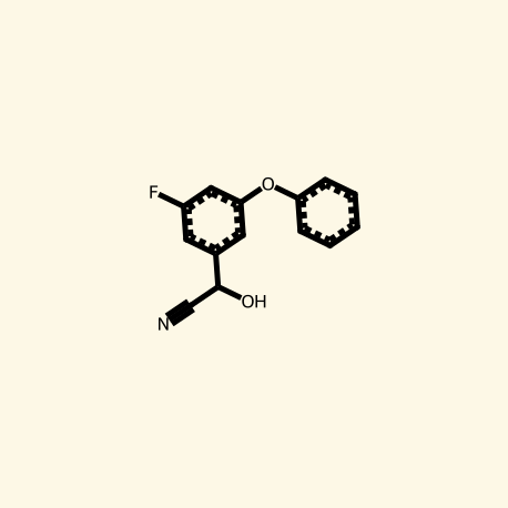 N#CC(O)c1cc(F)cc(Oc2ccccc2)c1